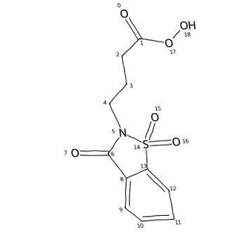 O=C(CCCN1C(=O)c2ccccc2S1(=O)=O)OO